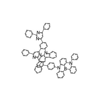 c1ccc(-c2ccc3c(c2)c2ccccc2n3-c2ccc(-c3cc(-c4ccccc4)nc(-c4ccccc4)n3)cc2-c2cc(-c3ccccc3)nc(-c3cccc(-c4ccc(N5c6ccccc6B6c7ccccc7N(c7ccccc7)c7cccc5c76)cc4)c3)n2)cc1